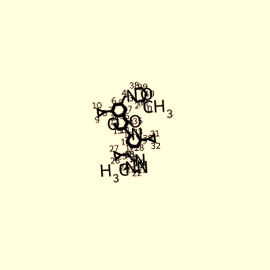 C[C@@H]1CN(Cc2cc(C3CC3)c3occ(-c4cc([C@H](c5nncn5C)C5CC5)cc(C5CC5)n4)c(=O)c3c2)CCO1